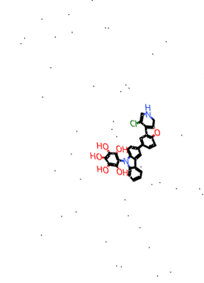 Oc1c(O)c(O)c(-n2c3ccccc3c3cc(-c4ccc5oc6c(c5c4)C(Cl)=CNC6)ccc32)c(O)c1O